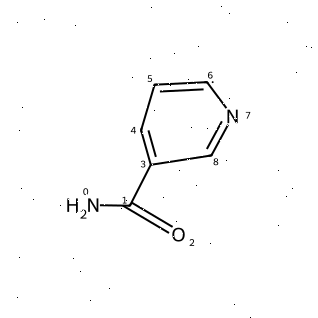 NC(=O)c1cc[c]nc1